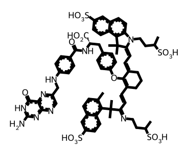 Cc1ccc2cc(S(=O)(=O)O)ccc2c1C(C)(C)C(/C=C/C1=C(Oc2ccc(C[C@H](NC(=O)c3ccc(NCc4cnc5nc(N)[nH]c(=O)c5n4)cc3)C(=O)O)cc2)C(=C/C=C2/N(CCC(C)S(=O)(=O)O)c3ccc4cc(S(=O)(=O)O)ccc4c3C2(C)C)/CCC1)=N/CCC(C)S(=O)(=O)O